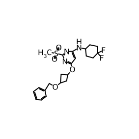 CS(=O)(=O)c1nc(NC2CCC(F)(F)CC2)cc(OC2CC(OCc3ccccc3)C2)n1